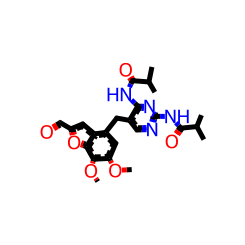 COc1cc(Cc2cnc(NC(=O)C(C)C)nc2NC(=O)C(C)C)c2cc(C=O)oc2c1OC